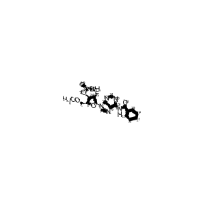 COC[C@H]1O[C@@H](n2cnc3c(NC(=O)c4ccccc4)ncnc32)[C@H](F)[C@@H]1O[PH](=O)O